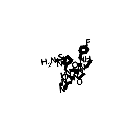 C#CCN(C(=O)NCc1ccc(F)cc1)N1CC(=O)N2[C@@H](Cc3cnc[nH]3)C(=O)N(Cc3cccc4sc(N)nc34)C[C@@H]21